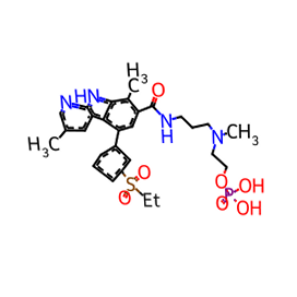 CCS(=O)(=O)c1cccc(-c2cc(C(=O)NCCCN(C)CCOP(=O)(O)O)c(C)c3[nH]c4ncc(C)cc4c23)c1